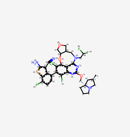 C[C@H]1CN2CCC[C@@]2(COc2nc3c4c(c(Cl)c(-c5ccc(F)c6sc(N)c(C#N)c56)c(F)c4n2)OC2COCC2CN3CC(F)F)C1